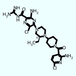 CC[C@H]1CN(c2nc(N)c(C(=O)NC(=N)N)nc2Cl)CCN1C1CCN(C(=O)c2ccc(Cl)nc2N)CC1